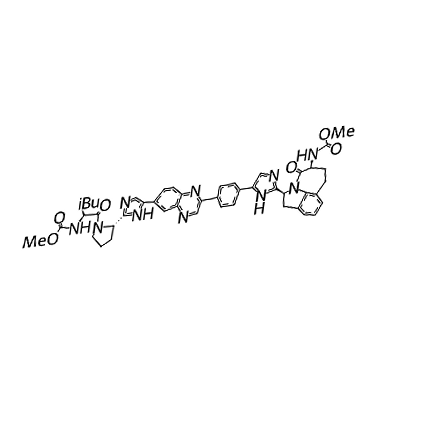 CC[C@H](C)[C@H](NC(=O)OC)C(=O)N1CCC[C@H]1c1ncc(-c2ccc3nc(-c4ccc(-c5cnc([C@@H]6Cc7cccc8c7N6C(=O)[C@@H](NC(=O)OC)CC8)[nH]5)cc4)cnc3c2)[nH]1